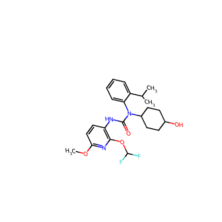 COc1ccc(NC(=O)N(c2ccccc2C(C)C)C2CCC(O)CC2)c(OC(F)F)n1